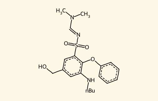 CCCCNc1cc(CO)cc(S(=O)(=O)N=CN(C)C)c1Oc1ccccc1